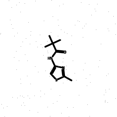 Cc1nc(NC(=O)C(C)(C)C)cs1